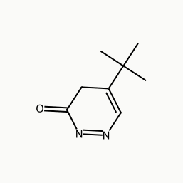 CC(C)(C)C1=CN=NC(=O)C1